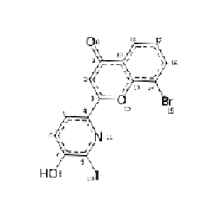 O=c1cc(-c2ccc(O)c(I)n2)oc2c(Br)cccc12